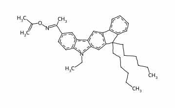 C=C(C)O/N=C(\C)c1ccc2c(c1)c1cc3c(cc1n2CC)C(CCCCCC)(CCCCCC)c1ccccc1-3